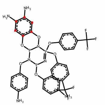 Nc1ccc(ON2P(Oc3ccc(N)cc3)N=P(Oc3ccc(C(F)(F)F)cc3)(Oc3ccc(C(F)(F)F)cc3)N(Oc3ccc(N)cc3)P2Oc2ccc(N)cc2)cc1